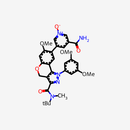 COc1cc(OC)cc(-n2nc(C(=O)N(C)C(C)(C)C)c3c2-c2cc(-c4cc(C(N)=O)c[n+]([O-])c4)c(OC)cc2OC3)c1